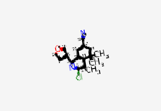 Cc1c(Cl)nc(-c2ccoc2)c2c1C(C)(C)CC(C#N)=C2